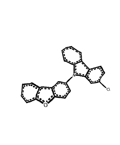 Clc1ccc2c3ccccc3n(-c3ccc4oc5ccccc5c4c3)c2c1